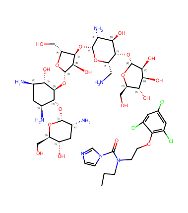 CCCN(CCOc1c(Cl)cc(Cl)cc1Cl)C(=O)n1ccnc1.NC[C@@H]1O[C@H](O[C@H]2[C@@H](O)[C@H](O[C@@H]3[C@@H](O)[C@H](N)C[C@H](N)[C@H]3O[C@H]3O[C@H](CO)[C@@H](O)C[C@H]3N)O[C@@H]2CO)[C@H](N)[C@@H](O)[C@@H]1O[C@H]1O[C@H](CO)[C@@H](O)[C@H](O)[C@@H]1O